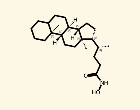 C[C@H](CCC(=O)NO)[C@H]1CC[C@H]2[C@@H]3CCC4CCCC[C@]4(C)[C@H]3CC[C@]12C